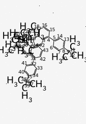 CC1=Cc2c(-c3ccc(C(C)(C)C)cc3)ccc(C)c2[CH]1[Zr]([CH3])([CH3])([CH]1C(C(C)C)=Cc2c(-c3ccc(C(C)(C)C)cc3)cccc21)[SiH](C)C